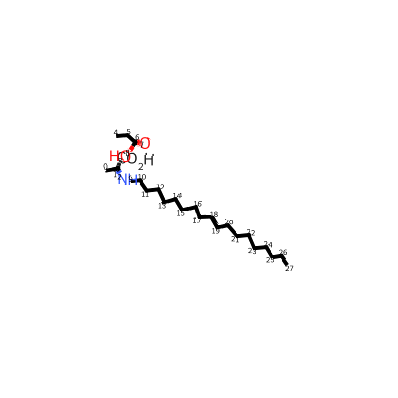 CC(=N)C(=O)O.CCC(=O)O.CCCCCCCCCCCCCCCCCCC